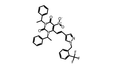 CC(c1ccccc1)n1c(C=Cc2cnn(Cc3ccccc3C(F)(F)F)c2)c([N+](=O)[O-])c(=O)n(C(C)c2ccccc2)c1=O